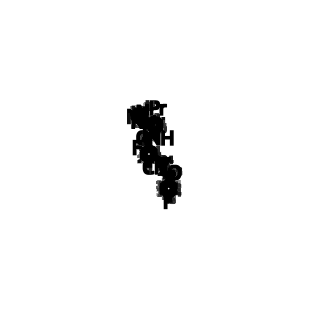 Cc1cc(F)c(C(=O)Nc2cccc(-c3nncn3C(C)C)n2)cc1C1CC1CC(=O)c1ccc(F)cc1